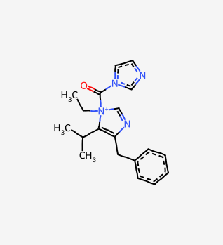 CC[N+]1(C(=O)n2ccnc2)C=NC(Cc2ccccc2)=C1C(C)C